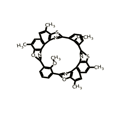 COc1c2cccc1c1nc3c(o1)c(C)cc1cc(C)c4sc(nc4c13)c1cccc(c1OC)c1nc3c(s1)c(C)cc1cc(C)c4oc2nc4c13